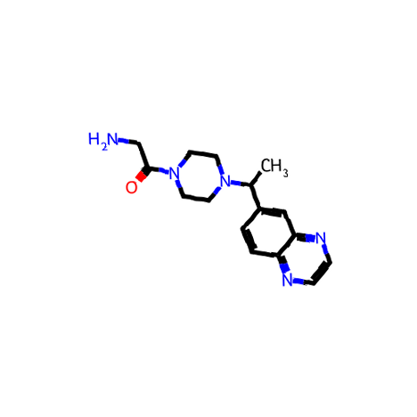 CC(c1ccc2nccnc2c1)N1CCN(C(=O)CN)CC1